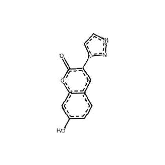 O=c1oc2cc(O)ccc2cc1-n1ccnn1